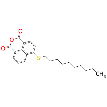 CCCCCCCCCCSc1ccc2c3c(cccc13)C(=O)OC2=O